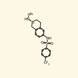 CCCN[C@H]1CCc2cc(NS(=O)(=O)c3ccc(C(F)(F)F)cc3)ccc2C1